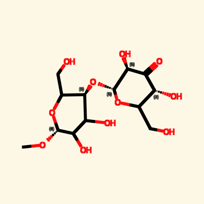 CO[C@@H]1OC(CO)[C@@H](O[C@H]2OC(CO)[C@@H](O)C(=O)[C@@H]2O)C(O)C1O